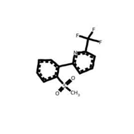 CS(=O)(=O)c1ccccc1-c1cccc(C(F)(F)F)n1